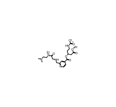 CCN(CCN(C)C)C(=O)CNCc1cc(C(=O)OC(CCNC(=O)C(F)(F)F)CC(=O)OC(C)C)ccn1